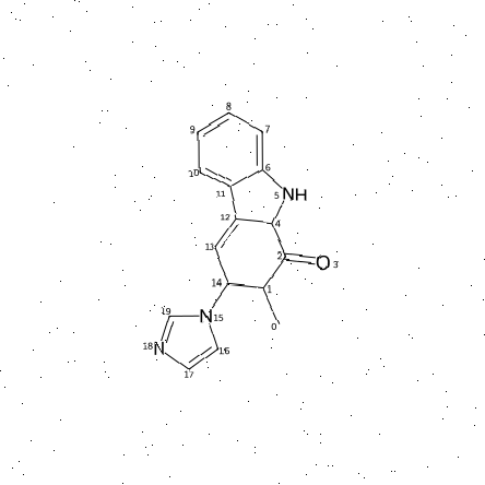 CC1C(=O)C2Nc3ccccc3C2=CC1n1ccnc1